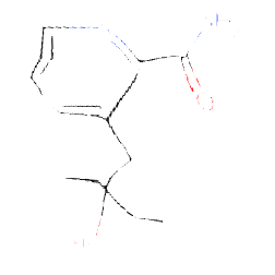 CC(C)(O)Cc1cccnc1C(N)=O